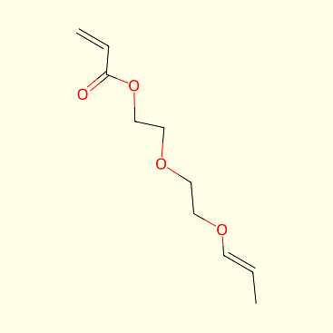 C=CC(=O)OCCOCCOC=CC